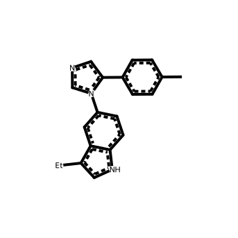 CCc1c[nH]c2ccc(-n3cncc3-c3ccc(C)cc3)cc12